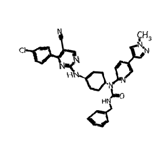 Cn1cc(-c2ccc(N(C(=O)NCc3ccccc3)[C@H]3CC[C@H](Nc4ncc(C#N)c(-c5ccc(Cl)cc5)n4)CC3)nc2)cn1